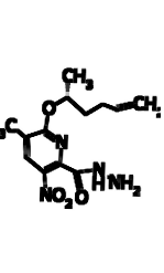 C=CCC[C@@H](C)Oc1nc(C(=O)NN)c([N+](=O)[O-])cc1C(F)(F)F